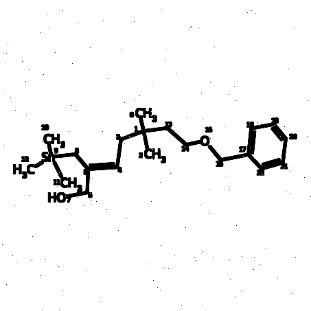 CC(C)(CC=C(CO)[CH2][Sn]([CH3])([CH3])[CH3])CCOCc1ccccc1